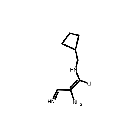 N=C/C(N)=C(/Cl)NCC1CCC1